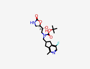 Cc1ncc(F)c2c1CC(CN(C[C@@H](O)[C@H]1CNC(=O)O1)C(=O)OC(C)(C)C)C2